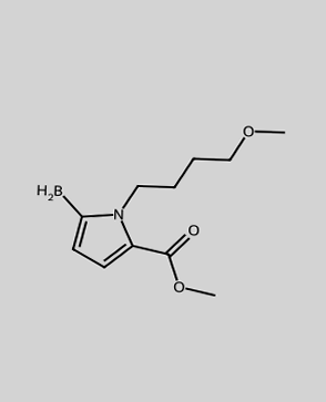 Bc1ccc(C(=O)OC)n1CCCCOC